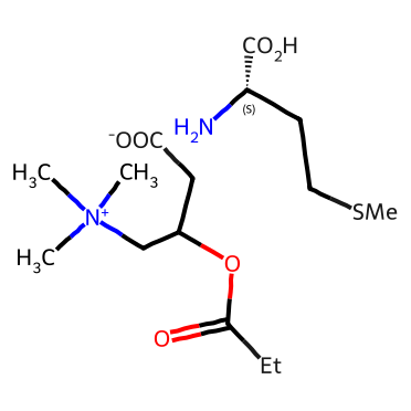 CCC(=O)OC(CC(=O)[O-])C[N+](C)(C)C.CSCC[C@H](N)C(=O)O